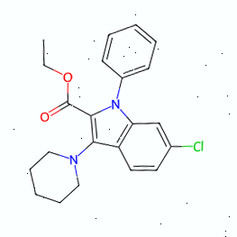 CCOC(=O)c1c(N2CCCCC2)c2ccc(Cl)cc2n1-c1ccccc1